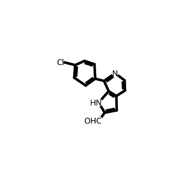 O=Cc1cc2ccnc(-c3ccc(Cl)cc3)c2[nH]1